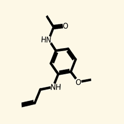 C=CCNc1cc(NC(C)=O)ccc1OC